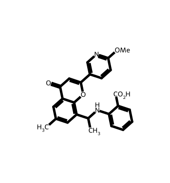 COc1ccc(-c2cc(=O)c3cc(C)cc(C(C)Nc4ccccc4C(=O)O)c3o2)cn1